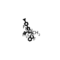 C=C(c1cc(C2CCC2)n2nc(-c3ccc(C4CC4)cc3F)cc2n1)N1CC(F)C2=C(CCC=C2)C1C